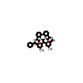 N#Cc1cc(C#N)cc(C(c2cc(C#N)cc(C#N)c2)=c2n3c4nccnc4c4cccc(c5cccc6c7nc(-c8ccccc8)cnc7n2c56)c43)c1